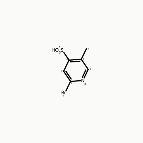 Cc1cnc(Br)cc1S(=O)(=O)O